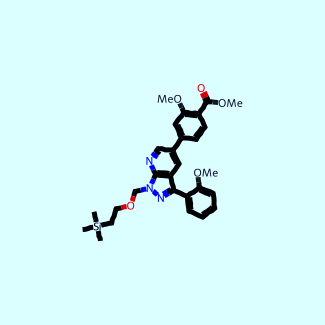 COC(=O)c1ccc(-c2cnc3c(c2)c(-c2ccccc2OC)nn3COCC[Si](C)(C)C)cc1OC